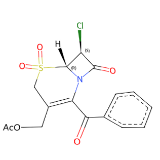 CC(=O)OCC1=C(C(=O)c2ccccc2)N2C(=O)[C@H](Cl)[C@H]2S(=O)(=O)C1